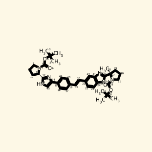 CC(C)(C)OC(=O)N1CCC[C@H]1c1nc(-c2ccc(/C=C/c3ccc4[nH]c([C@@]5(C)CCCN5C(=O)OC(C)(C)C)nc4c3)cc2)c[nH]1